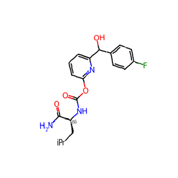 CC(C)C[C@H](NC(=O)Oc1cccc(C(O)c2ccc(F)cc2)n1)C(N)=O